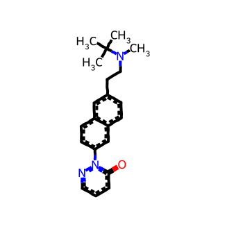 CN(CCc1ccc2cc(-n3ncccc3=O)ccc2c1)C(C)(C)C